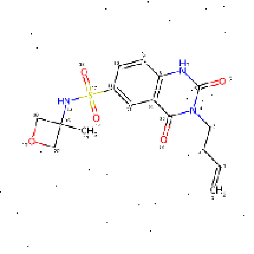 C=CCCn1c(=O)[nH]c2ccc(S(=O)(=O)NC3(C)COC3)cc2c1=O